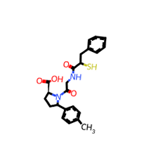 Cc1ccc(C2CC[C@@H](C(=O)O)N2C(=O)CNC(=O)C(S)Cc2ccccc2)cc1